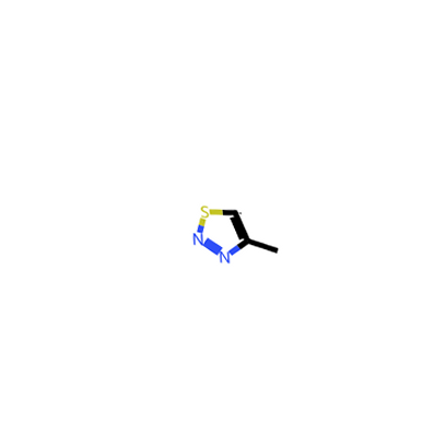 Cc1[c]snn1